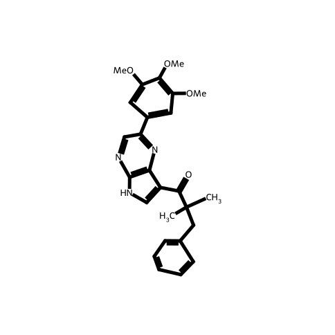 COc1cc(-c2cnc3[nH]cc(C(=O)C(C)(C)Cc4ccccc4)c3n2)cc(OC)c1OC